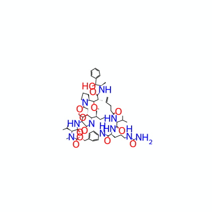 C=CCCC(=O)N[C@H](C(=O)N[C@@H](CCCNC(N)=O)C(=O)Nc1ccc(COC(=O)N(C)[C@H](C(=O)N[C@H](C(=O)N(C)[C@@H]([C@@H](C)CC)[C@@H](CC(=O)N2CCC[C@H]2[C@H](OC)[C@@H](C)C(=O)N[C@H](C)[C@@H](O)c2ccccc2)OC)C(C)C)C(C)C)cc1)C(C)C